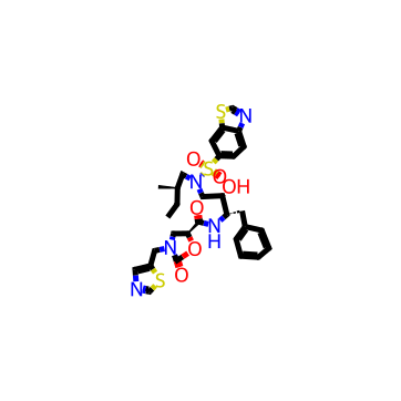 CC[C@@H](C)CN(C[C@@H](O)[C@H](Cc1ccccc1)NC(=O)[C@@H]1CN(Cc2cncs2)C(=O)O1)S(=O)(=O)c1ccc2ncsc2c1